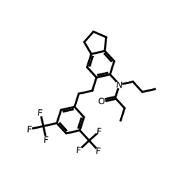 CCCN(C(=O)CC)c1cc2c(cc1CCc1cc(C(F)(F)F)cc(C(F)(F)F)c1)CCC2